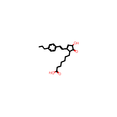 CCCc1ccc(C=CC2CC(O)C(=O)C2CCCCCCC(=O)O)cc1